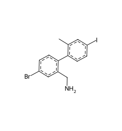 Cc1cc(I)ccc1-c1ccc(Br)cc1CN